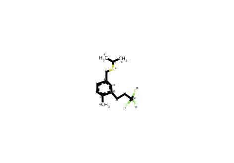 Cc1ccc(CSC(C)C)cc1CCC(F)(F)F